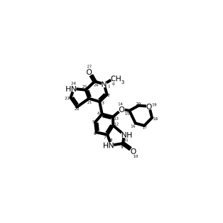 Cn1cc(-c2ccc3[nH]c(=O)[nH]c3c2OC2CCCOC2)c2cc[nH]c2c1=O